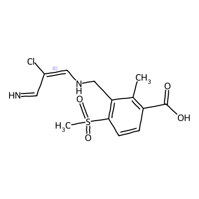 Cc1c(C(=O)O)ccc(S(C)(=O)=O)c1CN/C=C(/Cl)C=N